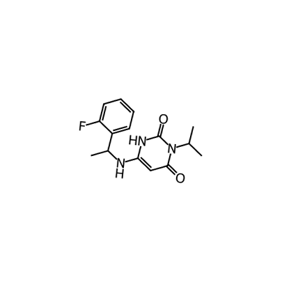 CC(Nc1cc(=O)n(C(C)C)c(=O)[nH]1)c1ccccc1F